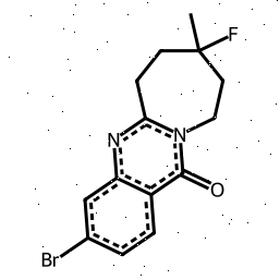 CC1(F)CCc2nc3cc(Br)ccc3c(=O)n2CC1